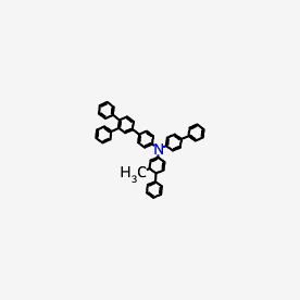 CC1C=C(N(c2ccc(-c3ccccc3)cc2)c2ccc(-c3ccc(-c4ccccc4)c(-c4ccccc4)c3)cc2)C=CC1c1ccccc1